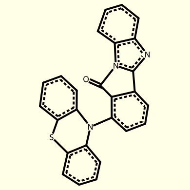 O=C1c2c(cccc2N2c3ccccc3Sc3ccccc32)-c2nc3ccccc3n21